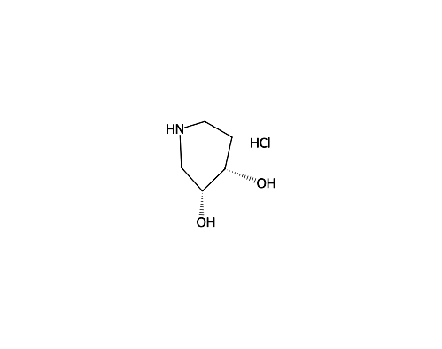 Cl.O[C@@H]1CNCC[C@@H]1O